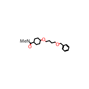 CNC(=O)C1CCC(OCCCCOCc2ccccc2)CC1